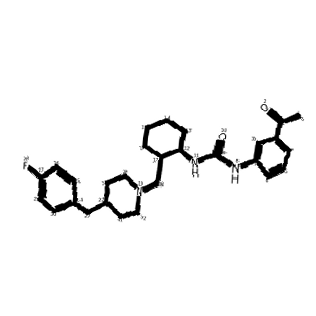 CC(=O)c1cccc(NC(=O)NC2CCCCC2CN2CCC(Cc3ccc(F)cc3)CC2)c1